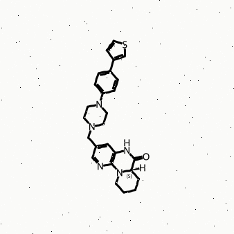 O=C1Nc2cc(CN3CCN(c4ccc(-c5ccsc5)cc4)CC3)cnc2N2CCCC[C@@H]12